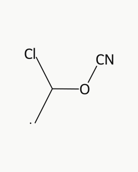 [CH2]C(Cl)OC#N